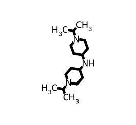 CC(C)N1CCC(NC2CCN(C(C)C)CC2)CC1